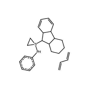 C1=CC2C(C=C1)[CH]([Ti]1([PH]c3ccccc3)[CH2][CH2]1)C1CCCCC21.C=CC=C